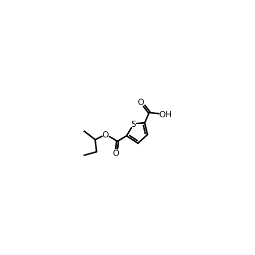 CCC(C)OC(=O)c1ccc(C(=O)O)s1